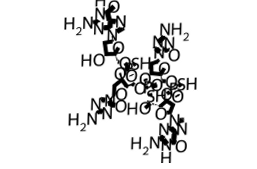 Nc1ncn([C@H]2C[C@@H](OP(=O)(S)OC[C@H]3O[C@@H](n4cnc5c(=O)[nH]c(N)nc54)C[C@H]3O)[C@@H](COP(=O)(S)O[C@@H]3C[C@H](n4cnc(N)nc4=O)O[C@@H]3COP(=O)(S)O[C@@H]3C[C@H](n4cnc5c(=O)[nH]c(N)nc54)O[C@@H]3CO)O2)c(=O)n1